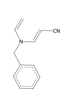 C=CN(C=CC#N)Cc1ccccc1